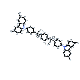 Cc1ccc2c(c1)c1cc(C)ccc1n2-c1ccc(C(c2ccc(C(c3ccc(-n4c5ccc(C)cc5c5cc(C)ccc54)cc3)(C(F)(F)F)C(F)(F)F)cc2)(C(F)(F)F)C(F)(F)F)cc1